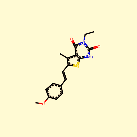 CCn1c(=O)[nH]c2sc(/C=C/c3ccc(OC)cc3)c(C)c2c1=O